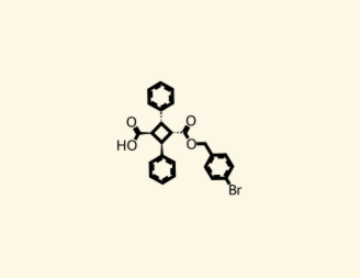 O=C(O)[C@H]1[C@H](c2ccccc2)[C@H](C(=O)OCc2ccc(Br)cc2)[C@H]1c1ccccc1